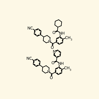 Cc1ccc(C(=O)N2CCC(c3ccc(C#N)cc3)CC2)cc1NC(=O)C1CCCCC1.Cc1ccc(C(=O)N2CCC(c3ccc(C#N)cc3)CC2)cc1NC(=O)c1cccnc1